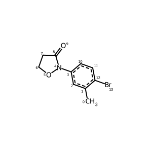 Cc1cc(N2OCCC2=O)ccc1Br